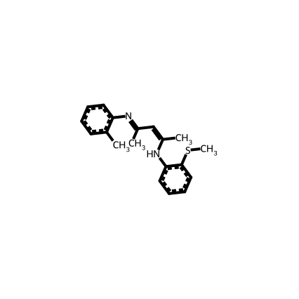 CSc1ccccc1N/C(C)=C\C(C)=N\c1ccccc1C